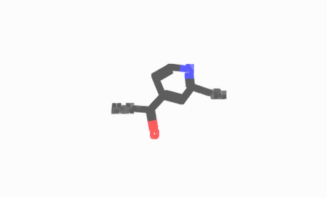 CNC(=O)c1ccnc(C(C)(C)C)c1